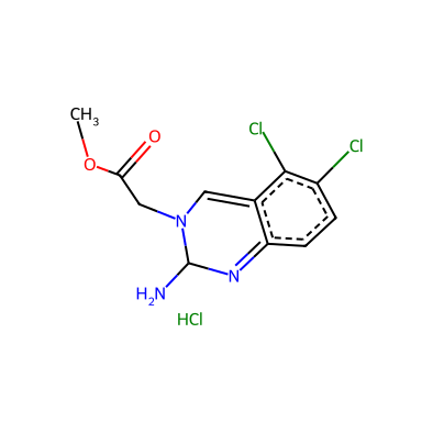 COC(=O)CN1C=c2c(Cl)c(Cl)ccc2=NC1N.Cl